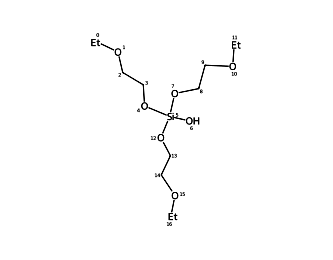 CCOCCO[Si](O)(OCCOCC)OCCOCC